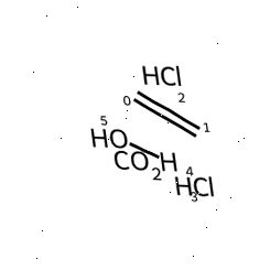 C=C.Cl.Cl.O=C(O)O